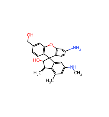 C=C1c2c(C)cc(NC)cc2C2(c3ccc(N)cc3Oc3cc(CO)ccc32)C1O